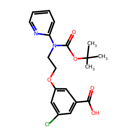 CC(C)(C)OC(=O)N(CCOc1cc(Cl)cc(C(=O)O)c1)c1ccccn1